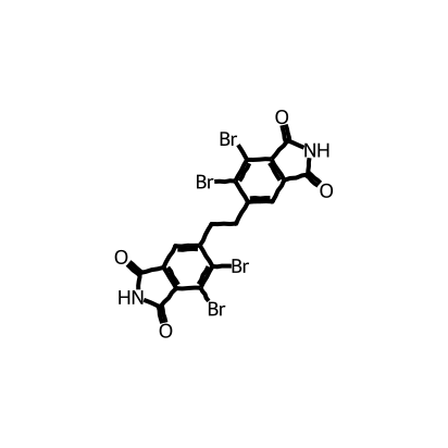 O=C1NC(=O)c2c1cc(CCc1cc3c(c(Br)c1Br)C(=O)NC3=O)c(Br)c2Br